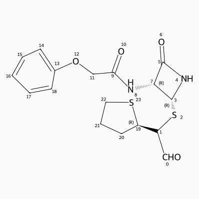 O=CC(S[C@H]1NC(=O)[C@H]1NC(=O)COc1ccccc1)[C@H]1CCCS1